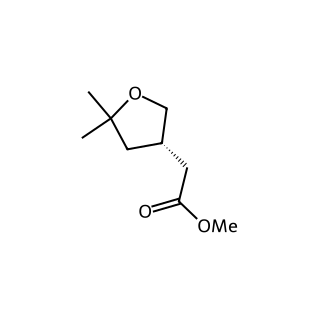 COC(=O)C[C@H]1COC(C)(C)C1